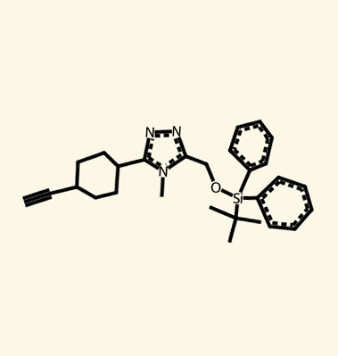 C#CC1CCC(c2nnc(CO[Si](c3ccccc3)(c3ccccc3)C(C)(C)C)n2C)CC1